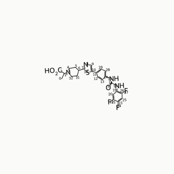 CC(C(=O)O)N1CCC(c2ncc(-c3ccc(NC(=O)Nc4cc(F)c(F)cc4F)cc3)s2)CC1